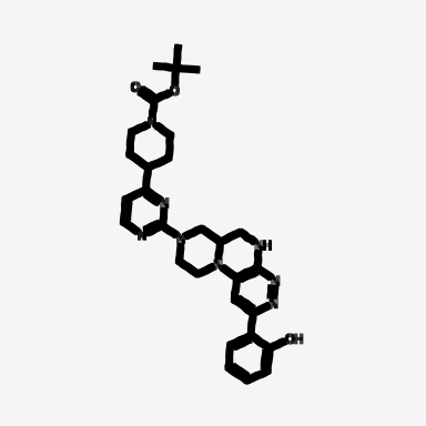 CC(C)(C)OC(=O)N1CCC(c2ccnc(N3CCN4c5cc(-c6ccccc6O)nnc5NCC4C3)n2)CC1